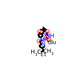 CC/C(C)=C(\C)c1ccc(C(=O)Nc2ccc3c(c2)C2(COC(NC(=O)OC(C)(C)C)=N2)C2(CC2)CO3)nc1